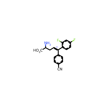 N#Cc1ccc(/C(=C\CC(N)C(=O)O)c2ccc(F)cc2F)cc1